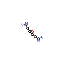 N#Cc1cncc(-c2ccc(-c3ccc4c(c3)oc3cc(-c5ccc(-c6cncc(C#N)c6)cc5)ccc34)cc2)c1